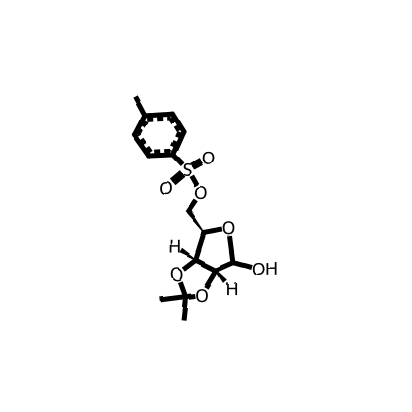 Cc1ccc(S(=O)(=O)OC[C@H]2OC(O)[C@@H]3OC(C)(C)O[C@H]23)cc1